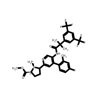 COC(=O)[C@@H]1CCC(c2cc(-c3ccc(F)cc3C)c(NC(=O)C(C)(C)c3cc(C(F)(F)F)cc(C(F)(F)F)c3)cn2)N1P